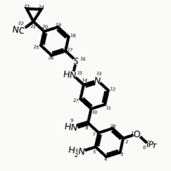 CC(C)Oc1ccc(N)c(C(=N)c2ccnc(NSc3ccc(C4(C#N)CC4)cc3)c2)c1